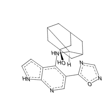 O[C@]12CC3CC(C1)[C@H](Nc1c(-c4ncno4)cnc4[nH]ccc14)C(C3)C2